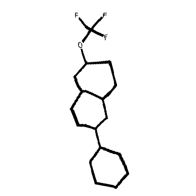 FC(F)(F)OC1CCC2CC(C3CCCCC3)CCC2C1